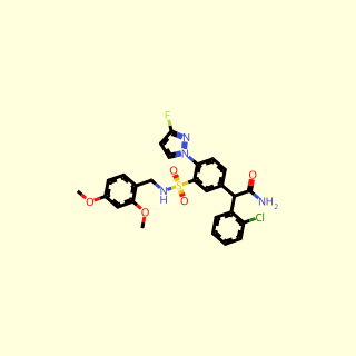 COc1ccc(CNS(=O)(=O)c2cc(C(C(N)=O)c3ccccc3Cl)ccc2-n2ccc(F)n2)c(OC)c1